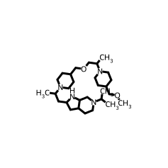 COCC1CCN(C(C)COCC2CCN(C(C)CC3CC4CCN(C(C)C)CC4N3)CC2)CC1